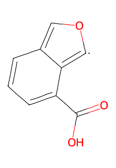 O=C(O)c1cccc2co[c]c12